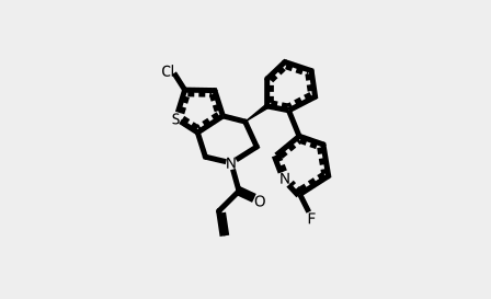 C=CC(=O)N1Cc2sc(Cl)cc2[C@@H](c2ccccc2-c2ccc(F)nc2)C1